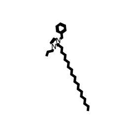 CCCCCCCCCCCCCCCCCCc1n(Cc2ccccc2)cc[n+]1CCC